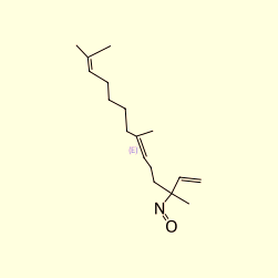 C=CC(C)(CC/C=C(\C)CCCCC=C(C)C)N=O